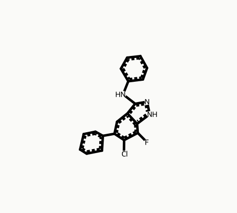 Fc1c(Cl)c(-c2ccccc2)cc2c(Nc3ccccc3)n[nH]c12